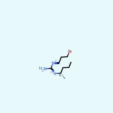 CCC[C@H](C)/N=C(N)\N=C\CCBr